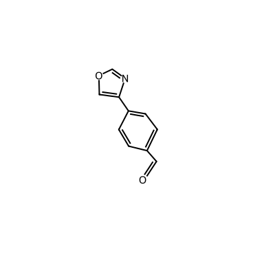 O=Cc1ccc(-c2cocn2)cc1